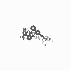 COC(C)(C)C#Cc1ccc(-c2ccccc2NC(=O)c2c(C(N)=O)cccc2-c2cn(C)nc2C(F)F)cc1